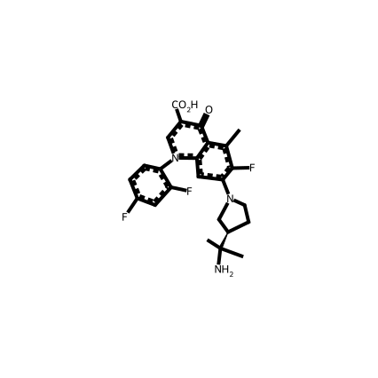 Cc1c(F)c(N2CC[C@@H](C(C)(C)N)C2)cc2c1c(=O)c(C(=O)O)cn2-c1ccc(F)cc1F